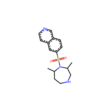 CC1CCNCC(C)N1S(=O)(=O)c1ccc2cnccc2c1